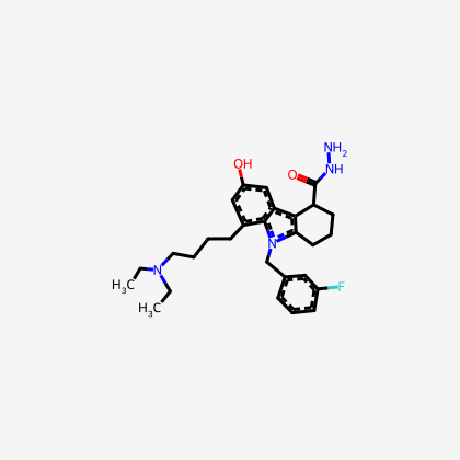 CCN(CC)CCCCc1cc(O)cc2c3c(n(Cc4cccc(F)c4)c12)CCCC3C(=O)NN